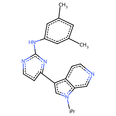 Cc1cc(C)cc(Nc2nccc(-c3cn(C(C)C)c4cnccc34)n2)c1